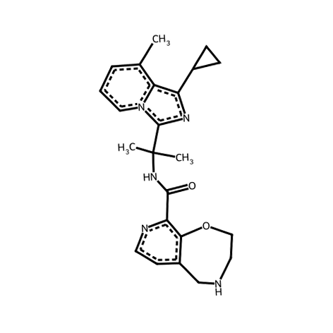 Cc1cccn2c(C(C)(C)NC(=O)c3nccc4c3OCCNC4)nc(C3CC3)c12